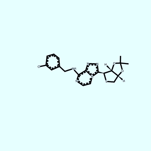 CC1(C)O[C@@H]2[C@@H](CS[C@H]2c2nnc3c(NCc4cccc(Cl)c4)nccn23)O1